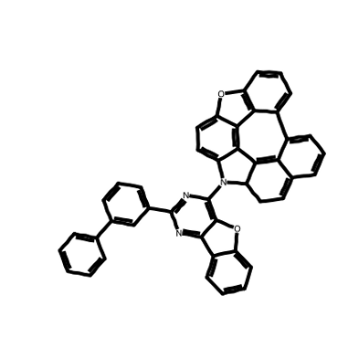 C1=c2cccc3c2=C2c4c(ccc5oc6cccc-3c6c45)N(c3nc(-c4cccc(-c5ccccc5)c4)nc4c3oc3ccccc34)C2C1